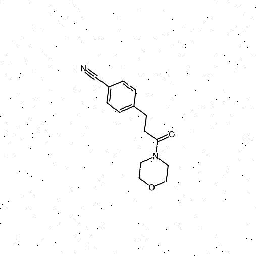 N#Cc1ccc(CCC(=O)N2CCOCC2)cc1